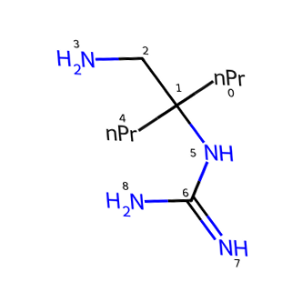 CCCC(CN)(CCC)NC(=N)N